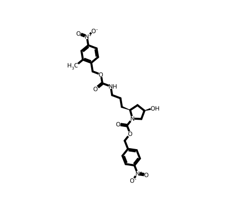 Cc1cc([N+](=O)[O-])ccc1COC(=O)NCCC[C@H]1C[C@@H](O)CN1C(=O)OCc1ccc([N+](=O)[O-])cc1